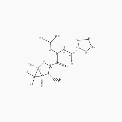 CC1(C)[C@@H]2[C@@H](C(=O)O)N(C(=O)C(CC(F)F)NC(=O)[C@@H]3CCOC3)C[C@@H]21